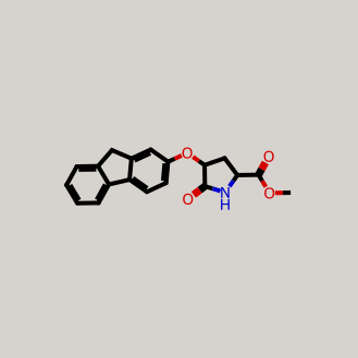 COC(=O)C1CC(Oc2ccc3c(c2)Cc2ccccc2-3)C(=O)N1